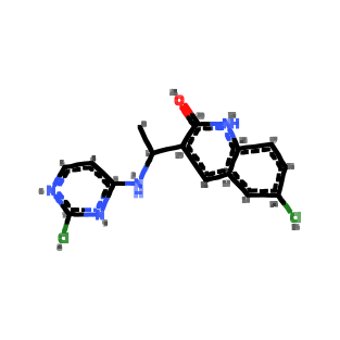 CC(Nc1ccnc(Cl)n1)c1cc2cc(Cl)ccc2[nH]c1=O